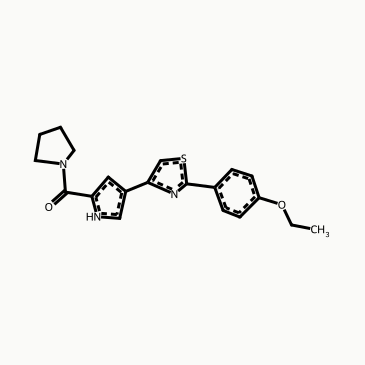 CCOc1ccc(-c2nc(-c3c[nH]c(C(=O)N4CCCC4)c3)cs2)cc1